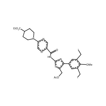 CCOC(=O)C1CCN(c2cnc(C(=O)Nc3nc(-c4cc(CI)c(OC)c(CI)c4)c(COC(C)=O)s3)cn2)CC1